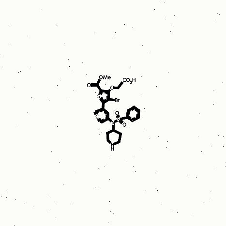 COC(=O)c1sc(-c2cccc(N(C3CCNCC3)S(=O)(=O)c3ccccc3)c2)c(Br)c1OCC(=O)O